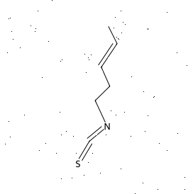 C/C=C/CCN=C=S